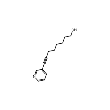 OCCCCCCC#Cc1cccnc1